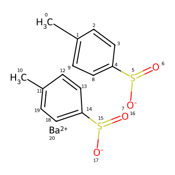 Cc1ccc(S(=O)[O-])cc1.Cc1ccc(S(=O)[O-])cc1.[Ba+2]